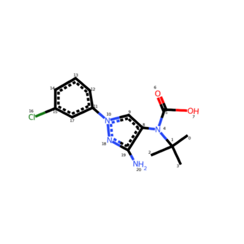 CC(C)(C)N(C(=O)O)c1cn(-c2cccc(Cl)c2)nc1N